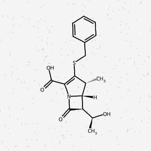 C[C@H](O)[C@H]1C(=O)N2C(C(=O)O)=C(SCc3ccccc3)[C@H](C)[C@H]12